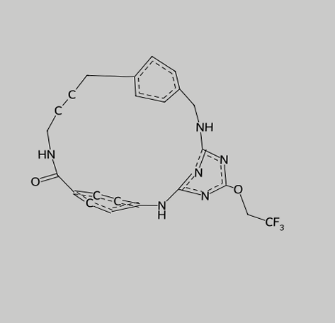 O=C1NCCCCc2ccc(cc2)CNc2nc(nc(OCC(F)(F)F)n2)Nc2ccc1cc2